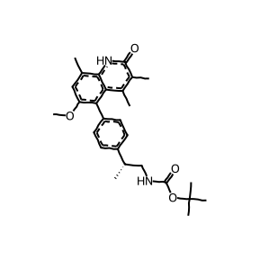 COc1cc(C)c2[nH]c(=O)c(C)c(C)c2c1-c1ccc([C@@H](C)CNC(=O)OC(C)(C)C)cc1